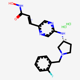 Cl.Cl.O=C(/C=C/c1cnc(N[C@@H]2CCN(Cc3ccccc3F)C2)cn1)NO